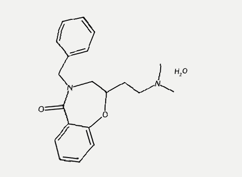 CN(C)CCC1CN(Cc2ccccc2)C(=O)c2ccccc2O1.O